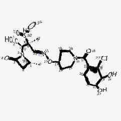 C[C@@H]1CC(=O)N1[C@@H](C(=O)O)[C@](C)(/C=N/OC1CCN(C(=O)c2ccc(O)c(O)c2Cl)CC1)[SH](=O)=O